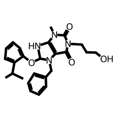 CC(C)c1ccccc1OC1Nc2c(c(=O)n(CCCO)c(=O)n2C)N1Cc1ccccc1